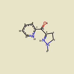 CN1CCC(C(=O)c2ccccn2)=N1